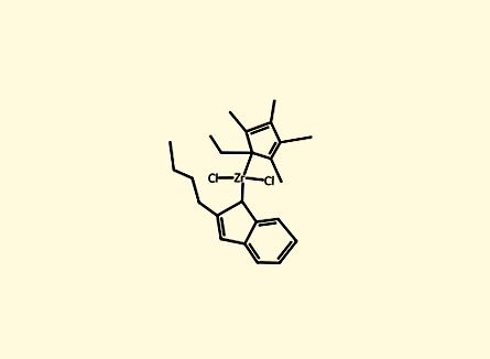 CCCCC1=Cc2ccccc2[CH]1[Zr]([Cl])([Cl])[C]1(CC)C(C)=C(C)C(C)=C1C